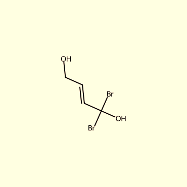 OC/C=C/C(O)(Br)Br